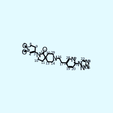 O=C1N(C2=CS(=O)(=O)CC2)CCC12CCN(CCc1ccc(-n3cnnn3)nc1)CC2